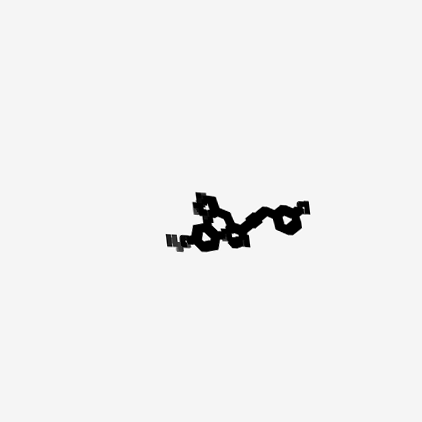 Cc1ccc2c(c1)-n1nncc1Cc1c(C#CCc3cccc(Cl)c3)ncn1-2